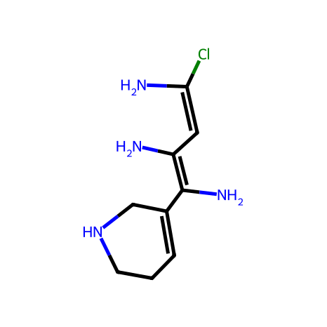 N/C(Cl)=C\C(N)=C(/N)C1=CCCNC1